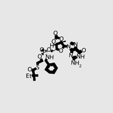 CCC(C)(C)C(=O)SCCOP(=O)(NCc1ccccc1)OC[C@H]1OC(n2cnc3c(=O)[nH]c(N)nc32)[C@@]2(C)OC(=O)O[C@@H]12